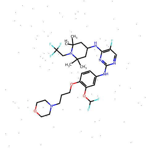 CC1(C)CC(Nc2nc(Nc3ccc(OCCCN4CCOCC4)c(OC(F)F)c3)ncc2F)CC(C)(C)N1CC(F)(F)F